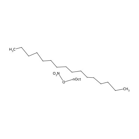 CCCCCCCCCCCCCCCC.CCCCCCCCO[N+](=O)[O-]